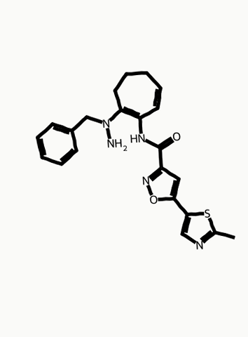 Cc1ncc(-c2cc(C(=O)NC3=C(N(N)Cc4ccccc4)CCCC=C3)no2)s1